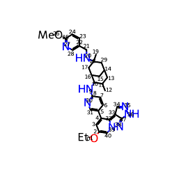 CCOc1cc(-c2ccc(NC3C(C)CC4CC3CC(C)(NCc3ccc(OC)nc3)C4)nc2)c2c3cn[nH]c3nn2c1